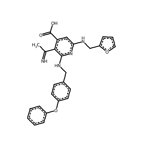 CC(=N)c1c(C(=O)O)cc(NCc2ccco2)nc1NCc1ccc(Oc2ccccc2)cc1